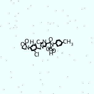 Cc1ccc(N(C(=O)c2cn(Cc3ccc(N4CCOC4=O)cc3Cl)c(C)n2)[SH](=O)=O)cc1